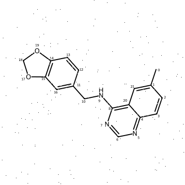 Cc1ccc2ncnc(NCc3ccc4c(c3)OCO4)c2c1